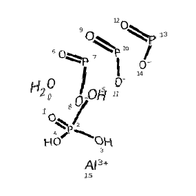 O.O=P(O)(O)O.O=P[O-].O=P[O-].O=P[O-].[Al+3]